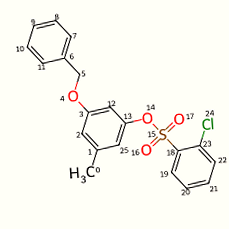 Cc1cc(OCc2ccccc2)cc(OS(=O)(=O)c2ccccc2Cl)c1